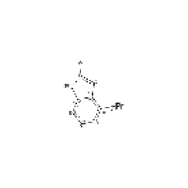 CC1=Cc2c(cccc2C(C)C)[CH]1